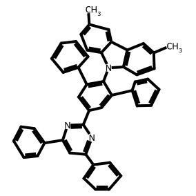 Cc1ccc2c(c1)c1cc(C)ccc1n2-c1c(-c2ccccc2)cc(-c2nc(-c3ccccc3)cc(-c3ccccc3)n2)cc1-c1ccccc1